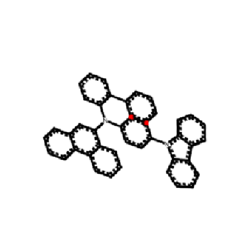 c1ccc(-c2ccccc2N(c2ccc(-n3c4ccccc4c4ccccc43)cc2)c2cc3ccccc3c3ccccc23)cc1